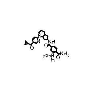 CCCNc1cc(C(=O)NC2CC3CCCN(c4ccc(C(=O)C5CC5)cn4)C3C2)ccc1C(N)=O